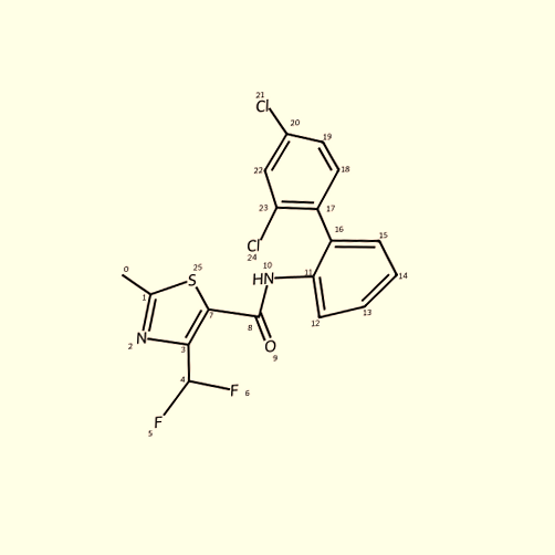 Cc1nc(C(F)F)c(C(=O)Nc2ccccc2-c2ccc(Cl)cc2Cl)s1